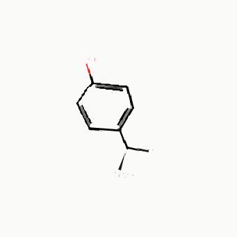 CN[C@H](C(C)=O)c1ccc(O)cc1